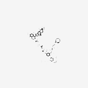 CC[C@@]1(O)C(=O)OCc2c1cc1n(c2=O)Cc2c-1nc1cc(F)c(C)c3c1c2[C@@H](NC(=O)COCNC(=O)CNC(=O)OCc1ccc(O[C@@H]2O[C@H](C(=O)O)[C@@H](O)[C@H](O)[C@H]2O)c(C(=O)NCCNC(=O)COC2C#CCCCCC2)c1)CC3